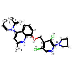 C=C(C)N(/C=C\C)c1cc(C)nc2c(OCc3c(Cl)cnc(N4CCCC4)c3Cl)cccc12